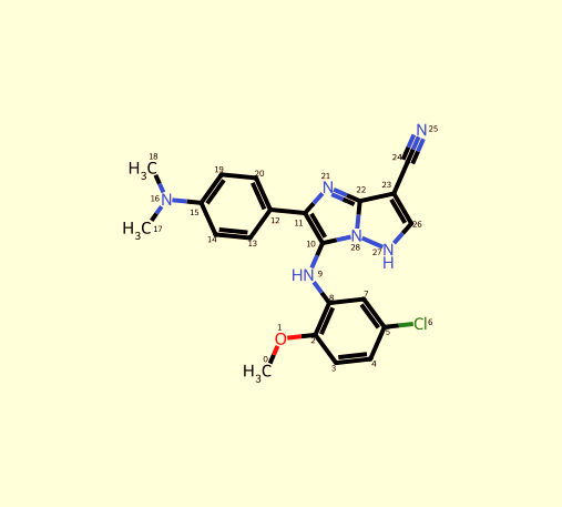 COc1ccc(Cl)cc1Nc1c(-c2ccc(N(C)C)cc2)nc2c(C#N)c[nH]n12